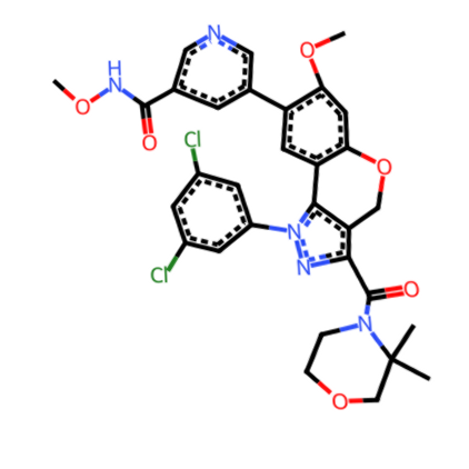 CONC(=O)c1cncc(-c2cc3c(cc2OC)OCc2c(C(=O)N4CCOCC4(C)C)nn(-c4cc(Cl)cc(Cl)c4)c2-3)c1